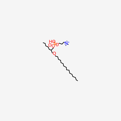 CCCCCCCCCCCCCCCCOCC(COP(O)OCCC[N+](C)(C)C)CC(=O)CCC